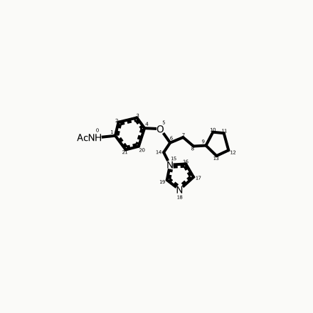 CC(=O)Nc1ccc(OC(CCC2CCCC2)Cn2ccnc2)cc1